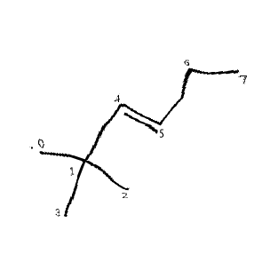 [CH2]C(C)(C)C=CCC